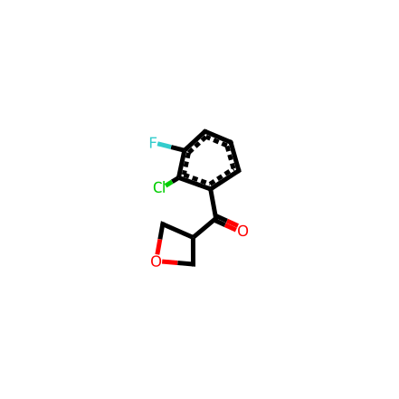 O=C(c1cccc(F)c1Cl)C1COC1